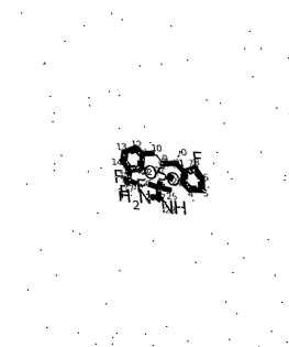 C[C@H](c1ccccc1F)[C@@H](Cc1cccc(C(F)(F)F)c1)S(=O)(=O)C(C)(C)C(=N)N